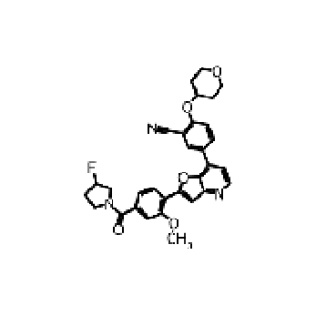 COc1cc(C(=O)N2CCC(F)C2)ccc1-c1cc2nccc(-c3ccc(OC4CCOCC4)c(C#N)c3)c2o1